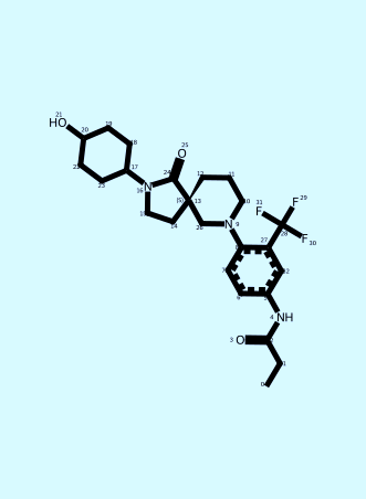 CCC(=O)Nc1ccc(N2CCC[C@]3(CCN(C4CCC(O)CC4)C3=O)C2)c(C(F)(F)F)c1